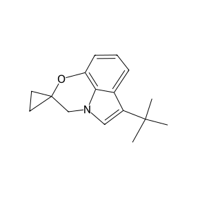 CC(C)(C)c1cn2c3c(cccc13)OC1(CC1)C2